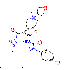 C[N+]1(C2COC2)CCc2c(sc(NC(=O)Nc3ccc(Cl)cc3)c2C(N)=O)C1